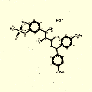 COc1ccc(C(CC(C)C(N)[C@H](O)c2ccc(O)c(NS(C)(=O)=O)c2)c2ccc(OC)cc2)cc1.Cl